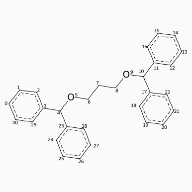 c1ccc(C(OCCCOC(c2ccccc2)c2ccccc2)c2ccccc2)cc1